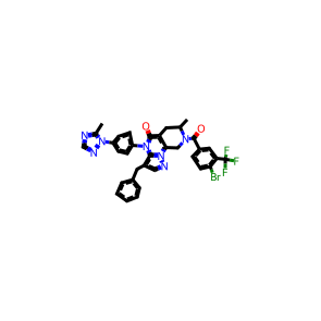 Cc1ncnn1-c1ccc(-n2c(=O)c3c(n4ncc(Cc5ccccc5)c24)CN(C(=O)c2ccc(Br)c(C(F)(F)F)c2)C(C)C3)cc1